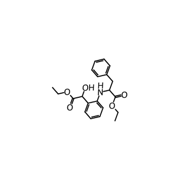 CCOC(=O)C(Cc1ccccc1)Nc1ccccc1C(O)C(=O)OCC